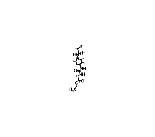 CCOC(=O)CNC(=O)Nc1ccc(NN(I)C=O)cc1